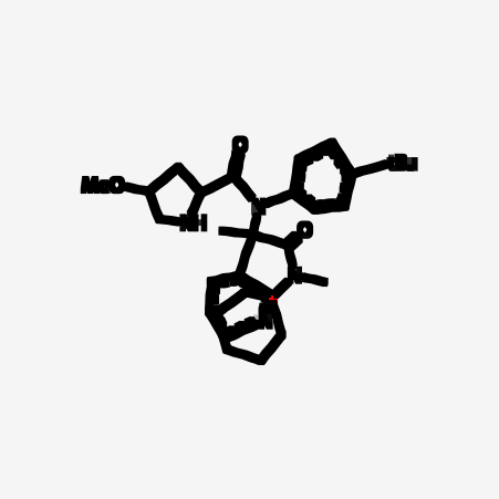 COC1CNC(C(=O)N(c2ccc(C(C)(C)C)cc2)C(C)(C(=O)N(C)C2CCCCC2)c2cccnc2)C1